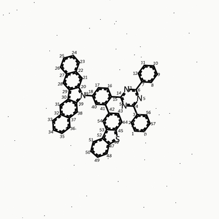 c1ccc(-c2nc(-c3ccccc3)nc(-c3ccc(-n4c5cc6ccccc6cc5c5cc6ccccc6cc54)cc3-c3ccc4sc5ccccc5c4c3)n2)cc1